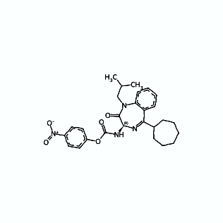 CC(C)CN1C(=O)[C@H](NC(=O)Oc2ccc([N+](=O)[O-])cc2)N=C(C2CCCCCC2)c2ccccc21